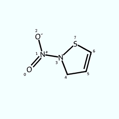 O=[N+]([O-])N1CC=[C]S1